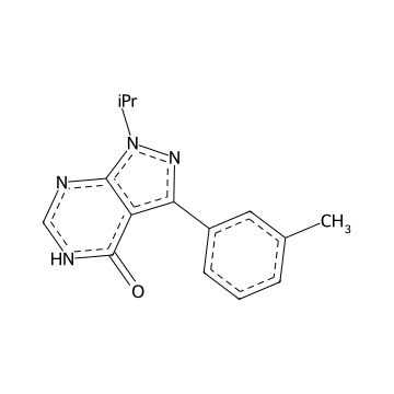 Cc1cccc(-c2nn(C(C)C)c3nc[nH]c(=O)c23)c1